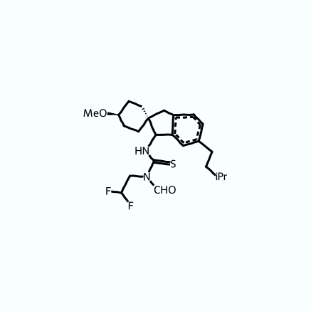 CO[C@H]1CC[C@]2(CC1)Cc1ccc(CCC(C)C)cc1C2NC(=S)N(C=O)CC(F)F